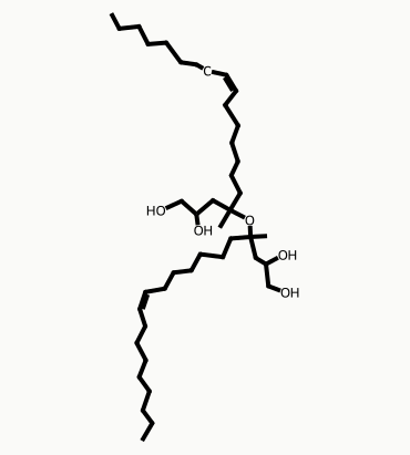 CCCCCCCC/C=C\CCCCCCC(C)(CC(O)CO)OC(C)(CCCCCC/C=C\CCCCCCCC)CC(O)CO